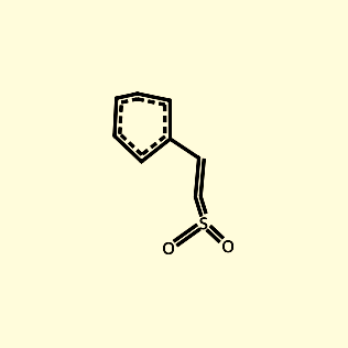 O=S(=O)=C=Cc1ccccc1